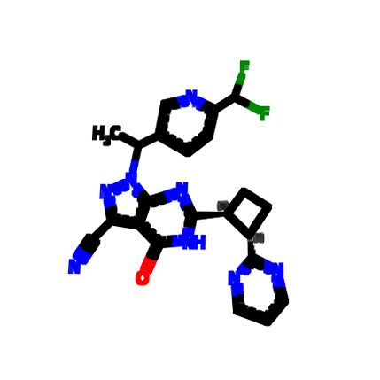 CC(c1ccc(C(F)F)nc1)n1nc(C#N)c2c(=O)[nH]c([C@H]3CC[C@@H]3c3ncccn3)nc21